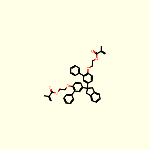 C=C(C)C(=O)OCCOc1ccc(C2(c3ccc(OCCOC(=O)C(=C)C)c(-c4ccccc4)c3)Cc3ccccc3C2)cc1-c1ccccc1